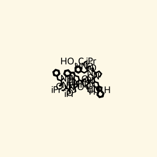 CC(C)CC(NC(=O)C(N)Cc1ccccc1)C(=O)NC(CC(C)C)C(=O)NC(Cc1cc2ccccc2[nH]1)C(=O)NC(CC(=O)O)C(=O)NC(Cc1cc2ccccc2[nH]1)C(=O)N1CCCC1C(=O)NC(Cc1ccccc1)C(=O)NC(C(=O)O)C(C)C